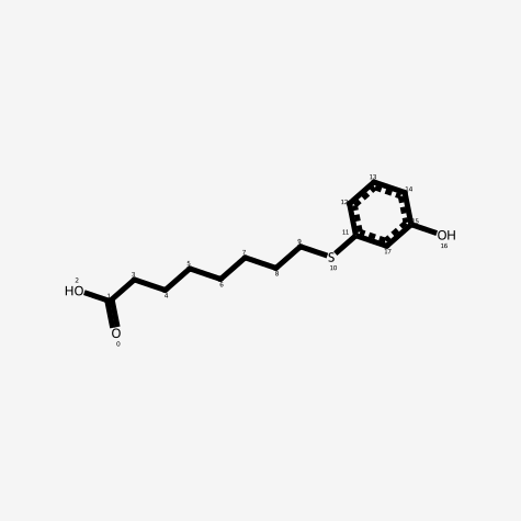 O=C(O)CCCCCCCSc1cccc(O)c1